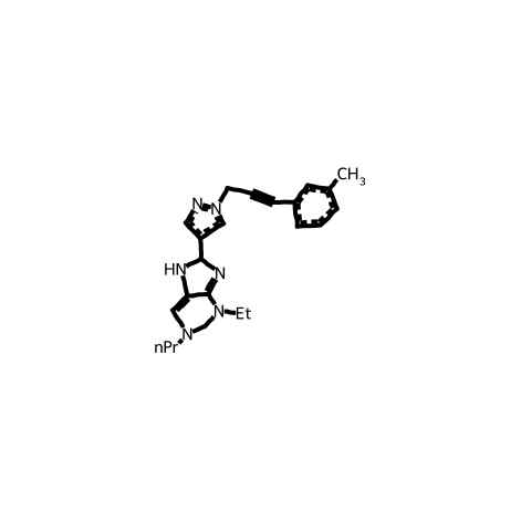 CCCN1C=C2NC(c3cnn(CC#Cc4cccc(C)c4)c3)N=C2N(CC)C1